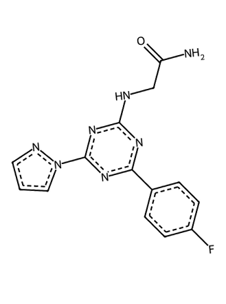 NC(=O)CNc1nc(-c2ccc(F)cc2)nc(-n2cccn2)n1